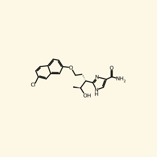 C[C@H](O)[C@H](CCOc1ccc2ccc(Cl)cc2c1)c1nc(C(N)=O)c[nH]1